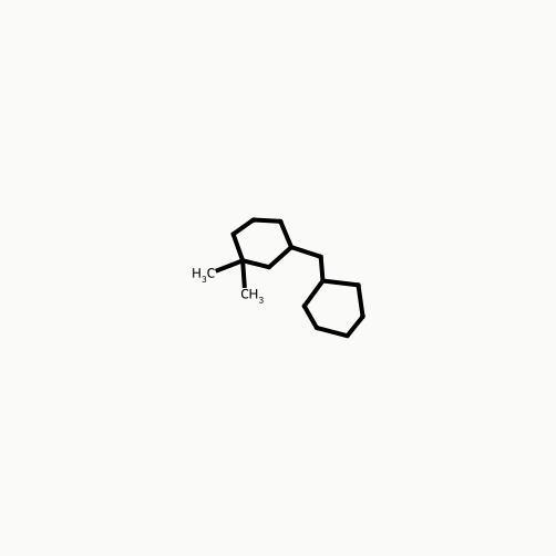 CC1(C)CCCC(CC2CCCCC2)C1